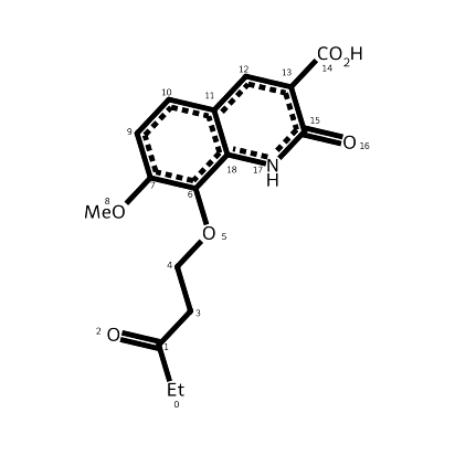 CCC(=O)CCOc1c(OC)ccc2cc(C(=O)O)c(=O)[nH]c12